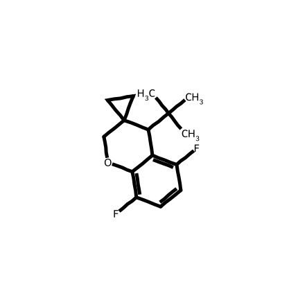 CC(C)(C)C1c2c(F)ccc(F)c2OCC12CC2